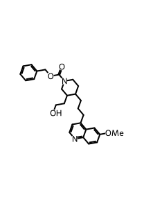 COc1ccc2nccc(CCCC3CCN(C(=O)OCc4ccccc4)CC3CCO)c2c1